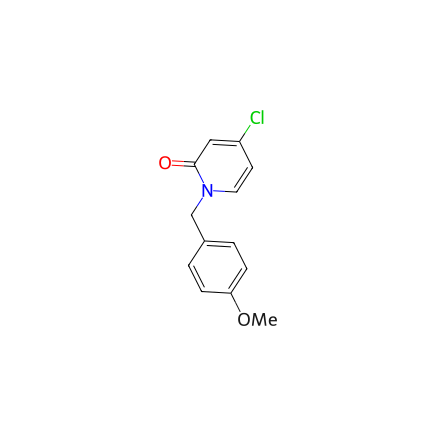 COc1ccc(Cn2ccc(Cl)cc2=O)cc1